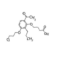 CCCc1c(OCCCCl)ccc(C(C)=O)c1OCCCC(=O)O